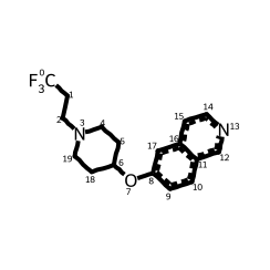 FC(F)(F)CCN1CCC(Oc2ccc3cnccc3c2)CC1